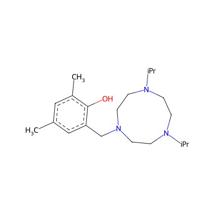 Cc1cc(C)c(O)c(CN2CCN(C(C)C)CCN(C(C)C)CC2)c1